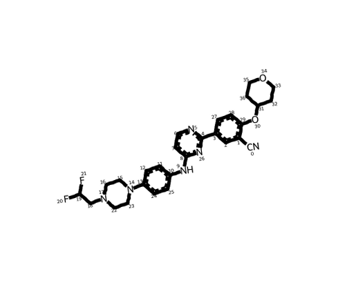 N#Cc1cc(-c2nccc(Nc3ccc(N4CCN(CC(F)F)CC4)cc3)n2)ccc1OC1CCOCC1